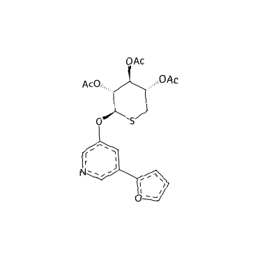 CC(=O)O[C@@H]1[C@@H](OC(C)=O)[C@H](OC(C)=O)CS[C@H]1Oc1cncc(-c2ccco2)c1